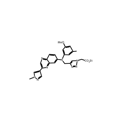 CCOC(=O)Cn1cc(CN(c2cc(C)cc(OC)c2)c2ccc3ncc(-c4cnn(C)c4)nc3c2)nn1